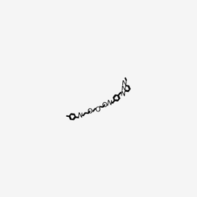 CC=Nc1cccc(N=Cc2ccc(C=NCOCCOCCOCCCN=Cc3ccc(C)cc3)cc2)n1